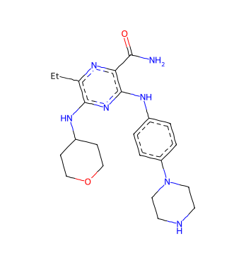 CCc1nc(C(N)=O)c(Nc2ccc(N3CCNCC3)cc2)nc1NC1CCOCC1